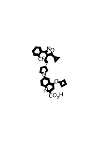 O=C(O)c1cc(OC2CCC2)c2cc(N3CC[C@H](/C=C/c4c(-c5ccccc5C(F)(F)F)noc4C4CC4)C3)ccc2n1